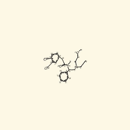 CCN(CCOC)CC(c1ccccc1)N(C)C(=O)Cc1ccc(Cl)c(Cl)c1